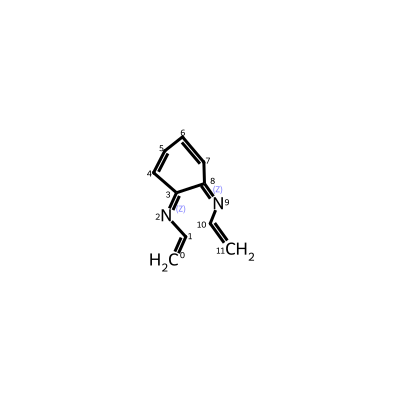 C=C/N=C1/C=CC=C/C1=N/C=C